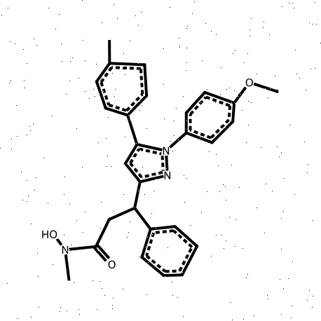 COc1ccc(-n2nc(C(CC(=O)N(C)O)c3ccccc3)cc2-c2ccc(C)cc2)cc1